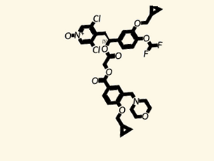 O=C(COC(=O)c1ccc(OCC2CC2)c(CN2CCOCC2)c1)O[C@@H](Cc1c(Cl)c[n+]([O-])cc1Cl)c1ccc(OC(F)F)c(OCC2CC2)c1